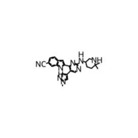 Cn1cc(-c2cnc(NC3CCC(C)(C)NC3)nc2-c2cc3ccc(C#N)cc3[nH]2)cn1